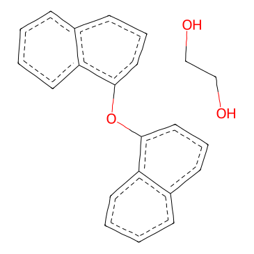 OCCO.c1ccc2c(Oc3cccc4ccccc34)cccc2c1